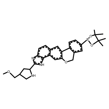 COCC1CNC(c2nc3ccc4cc5c(cc4c3[nH]2)OCc2cc(B3OC(C)(C)C(C)(C)O3)ccc2-5)C1